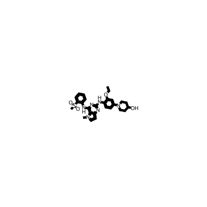 CCOc1cc(N2CCC(O)CC2)ccc1Nc1nc(Nc2ccccc2S(C)(=O)=O)c2c(ccn2C)n1